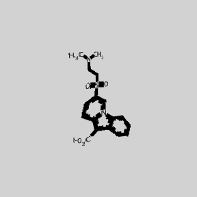 CN(C)CCS(=O)(=O)c1ccc2c(C(=O)O)c3ccccc3n2c1